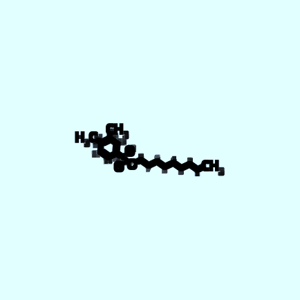 CCCCCCCCCOS(=O)(=O)c1ccc(C)c(C)c1